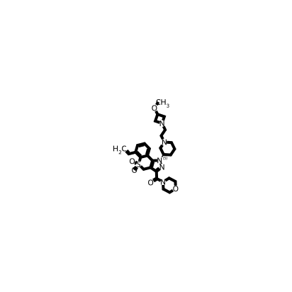 C=Cc1cccc2c1S(=O)(=O)Cc1c(C(=O)N3CCOCC3)nn([C@H]3CCCN(CCN4CC(OC)C4)C3)c1-2